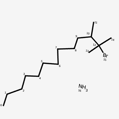 CCCCCCCCCCC(C)C(C)(C)Br.N